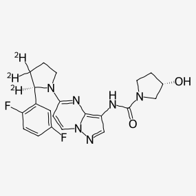 [2H]C1([2H])CCN(c2ccn3ncc(NC(=O)N4CC[C@H](O)C4)c3n2)[C@@]1([2H])c1cc(F)ccc1F